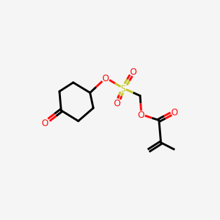 C=C(C)C(=O)OCS(=O)(=O)OC1CCC(=O)CC1